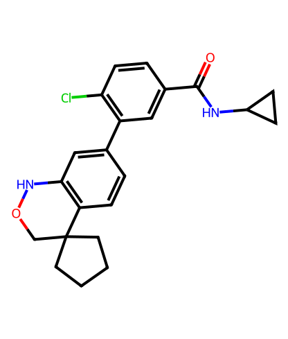 O=C(NC1CC1)c1ccc(Cl)c(-c2ccc3c(c2)NOCC32CCCC2)c1